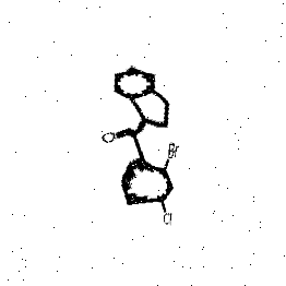 O=C(c1ccc(Cl)cc1Br)C1CCc2ccccc21